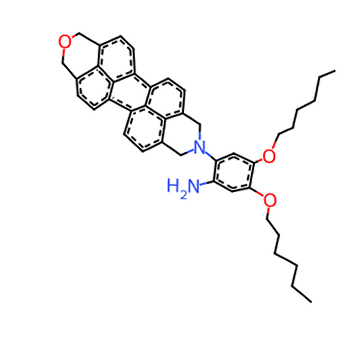 CCCCCCOc1cc(N)c(N2Cc3ccc4c5ccc6c7c(ccc(c8ccc(c3c48)C2)c75)COC6)cc1OCCCCCC